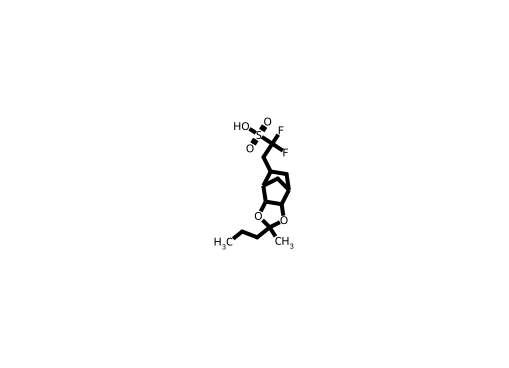 CCCC1(C)OC2C3CC(CC(F)(F)S(=O)(=O)O)C(C3)C2O1